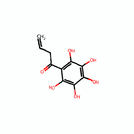 C=CCC(=O)c1c(O)c(O)c(O)c(O)c1O